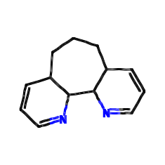 C1=CC2CCCC3C=CC=NC3C2N=C1